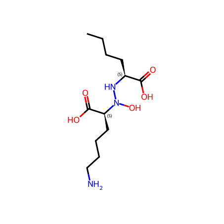 CCCC[C@H](NN(O)[C@@H](CCCCN)C(=O)O)C(=O)O